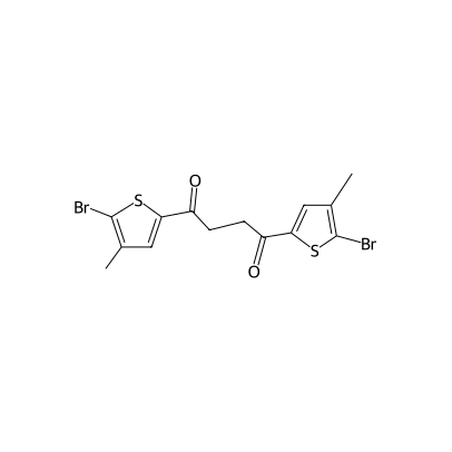 Cc1cc(C(=O)CCC(=O)c2cc(C)c(Br)s2)sc1Br